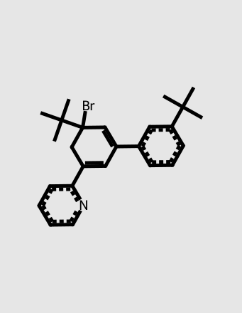 CC(C)(C)c1cccc(C2=CC(Br)(C(C)(C)C)CC(c3ccccn3)=C2)c1